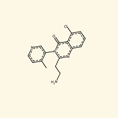 Cc1ccncc1-n1c(CCN)nc2cccc(Cl)c2c1=O